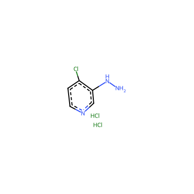 Cl.Cl.NNc1cnccc1Cl